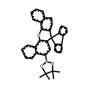 CC1(C)OB(c2cc3c(c4ccccc24)Oc2c(ccc4ccccc24)C32c3ccccc3-c3ccccc32)OC1(C)C